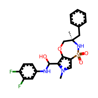 Cn1cc2c(c1C(O)Nc1ccc(F)c(F)c1)OC[C@@](C)(Cc1ccccc1)NS2(=O)=O